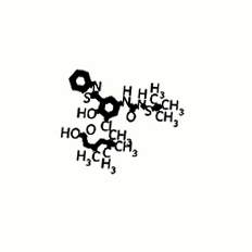 CC(C)(C)SNC(=O)Nc1cc(Cl)c(O)c(-c2nc3ccccc3s2)c1.CC(CC(=O)O)CC(C)(C)C